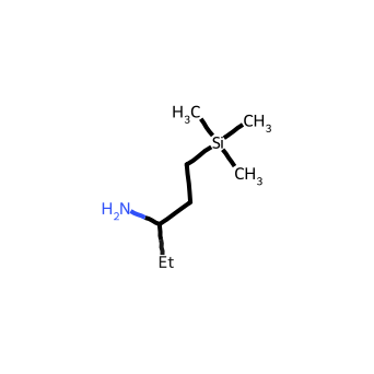 CCC(N)CC[Si](C)(C)C